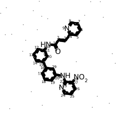 O=C(C=Cc1ccccn1)Nc1cccc(-c2cccc(Nc3ncccc3[N+](=O)[O-])c2)c1